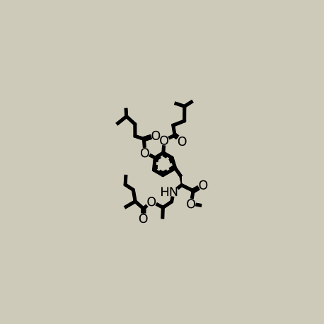 CCCC(C)C(=O)OC(C)CN[C@@H](Cc1ccc(OC(=O)CCC(C)C)c(OC(=O)CCC(C)C)c1)C(=O)OC